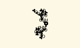 C=C(C)COCOCC(COC(=O)NCc1cccc(CNC(=O)OCC(COC(=O)C(=C)C)(COC(=O)C(=C)C)COC(=O)C(=C)C)c1)(COC(=O)C(=C)C)COC(=O)C(=C)C